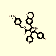 O=C(OCc1ccc([N+](=O)[O-])cc1)c1c(-c2ccc3c(c2)CCCS3)[nH]c(-c2ccc(F)cc2)c1-c1ccncc1